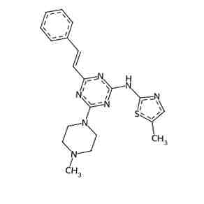 Cc1cnc(Nc2nc(/C=C/c3ccccc3)nc(N3CCN(C)CC3)n2)s1